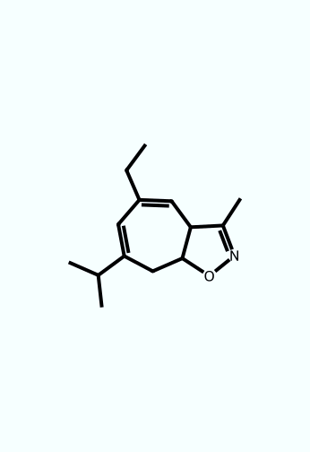 CCC1=CC2C(C)=NOC2CC(C(C)C)=C1